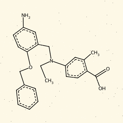 CCN(Cc1cc(N)ccc1OCc1ccccc1)c1ccc(C(=O)O)c(C)c1